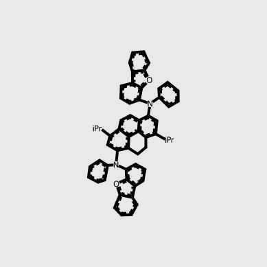 CC(C)c1cc(N(c2ccccc2)c2cccc3c2oc2ccccc23)c2ccc3c(C(C)C)cc(N(c4ccccc4)c4cccc5c4oc4ccccc45)c4c3c2c1CC4